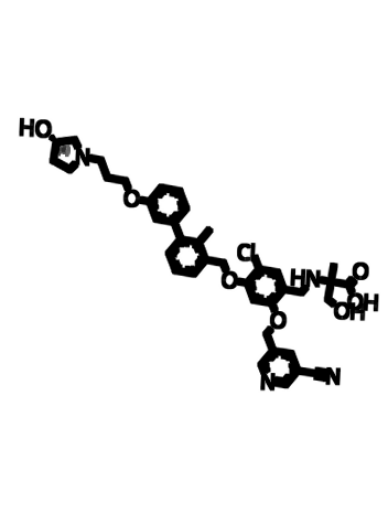 Cc1c(COc2cc(OCc3cncc(C#N)c3)c(CNC(C)(CO)C(=O)O)cc2Cl)cccc1-c1cccc(OCCCN2CC[C@@H](O)C2)c1